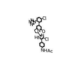 CC(=O)Nc1ccc(-c2[nH]c(C3CCc4cc(-c5cc(Cl)ccc5-n5cnnn5)cc(=O)n43)nc2Cl)cc1